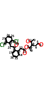 CC(=O)[C@@H](CC=O)[C@@H](C)OC(=O)Cc1ccccc1C(=O)Cc1c(Cl)cccc1Cl